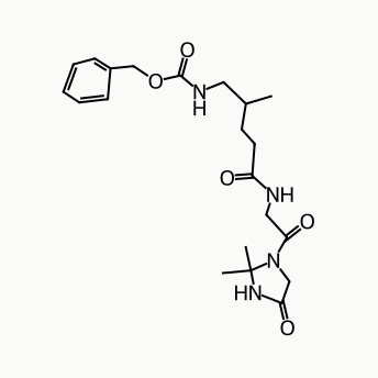 CC(CCC(=O)NCC(=O)N1CC(=O)NC1(C)C)CNC(=O)OCc1ccccc1